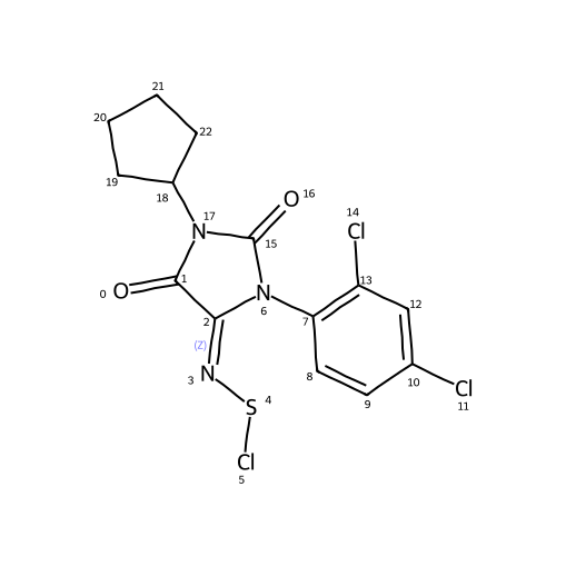 O=C1/C(=N/SCl)N(c2ccc(Cl)cc2Cl)C(=O)N1C1CCCC1